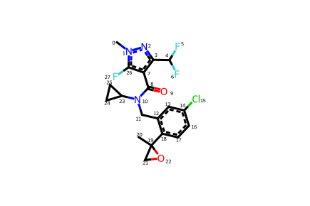 Cn1nc(C(F)F)c(C(=O)N(Cc2cc(Cl)ccc2C2(C)CO2)C2CC2)c1F